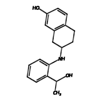 CC(O)c1ccccc1NC1CCc2ccc(O)cc2C1